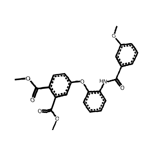 COC(=O)c1ccc(Oc2ccccc2NC(=O)c2cccc(OC)c2)cc1C(=O)OC